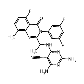 Cc1ccc(F)c2c(=O)n(-c3cc(F)cc(F)c3)c(C(C)Nc3nc(N)nc(N)c3C#N)nc12